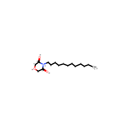 CCCCCCCCCCCCN1C(=O)COCC1=O